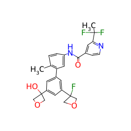 Cc1ccc(NC(=O)c2ccnc(C(C)(F)F)c2)cc1-c1cc(C2(O)COC2)cc(C2(F)COC2)c1